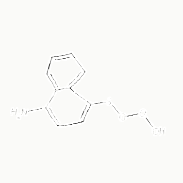 Nc1ccc(SOOO)c2ccccc12